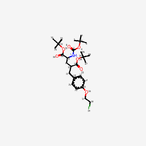 CC(C)(C)OC(=O)NC(CC(Cc1ccc(OCCF)cc1)C(=O)OC(C)(C)C)C(=O)OC(C)(C)C